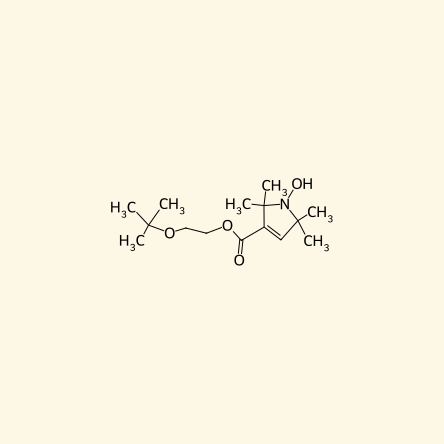 CC(C)(C)OCCOC(=O)C1=CC(C)(C)N(O)C1(C)C